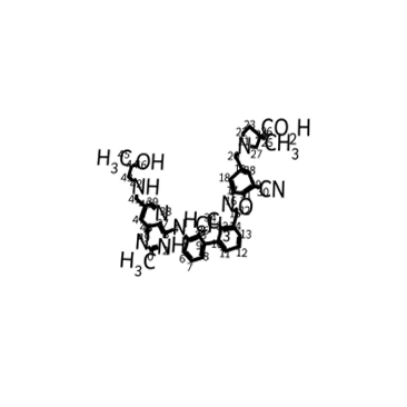 Cc1nc(Nc2cccc(-c3cccc(-c4nc5cc(CN6CCC(C)(C(=O)O)C6)cc(C#N)c5o4)c3C)c2C)c2ncc(CNCC(C)O)cc2n1